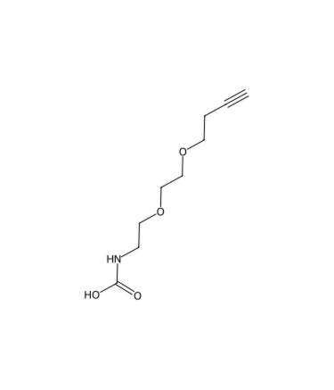 C#CCCOCCOCCNC(=O)O